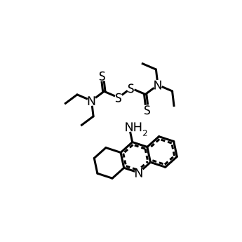 CCN(CC)C(=S)SSC(=S)N(CC)CC.Nc1c2c(nc3ccccc13)CCCC2